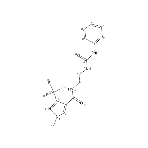 Cn1cc(C(=O)NCCNC(=O)Nc2ccccc2)c(C(F)(F)F)n1